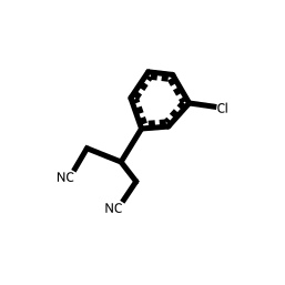 N#CCC(CC#N)c1cccc(Cl)c1